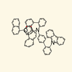 c1ccc(N(c2ccc(-c3ccccc3-n3c4ccccc4c4ccccc43)cc2)c2ccc(-c3cccc4ccccc34)cc2)c(-c2cccc3oc4c5ccccc5ccc4c23)c1